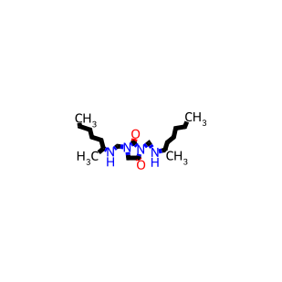 CCCCCC(C)NCN1CC(=O)N(CNC(C)CCCCC)C1=O